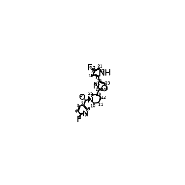 O=C(c1ccc(F)nc1)N1CCCC(c2nc(-c3cc(F)c[nH]3)co2)C1